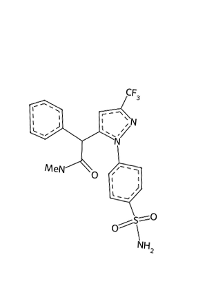 CNC(=O)C(c1ccccc1)c1cc(C(F)(F)F)nn1-c1ccc(S(N)(=O)=O)cc1